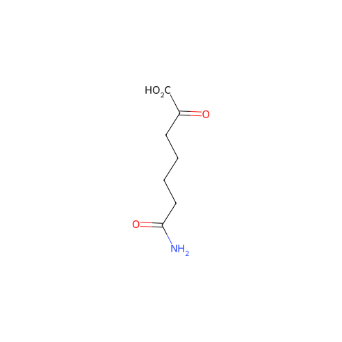 NC(=O)CCCCC(=O)C(=O)O